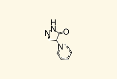 O=C1NN=CC1[n+]1ccccc1